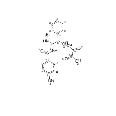 CCNC(NC(=O)c1ccc(O)cc1)C(O)c1ccccc1.O=C(O)C(=O)O